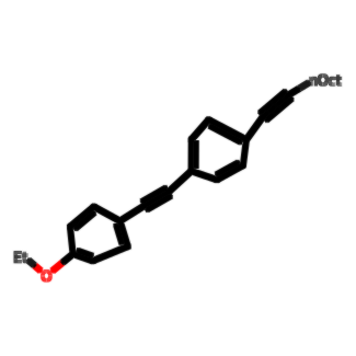 CCCCCCCCC#Cc1ccc(C#Cc2ccc(OCC)cc2)cc1